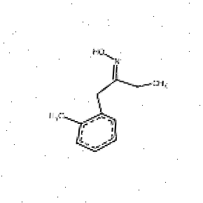 CC/C(Cc1ccccc1C)=N/O